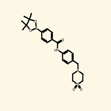 CC1(C)OB(c2ccc(C(=O)Nc3ccc(CN4CCS(=O)(=O)CC4)cc3)cc2)OC1(C)C